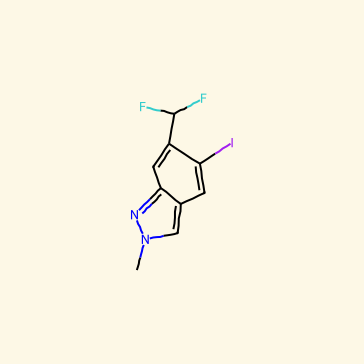 Cn1cc2cc(I)c(C(F)F)cc2n1